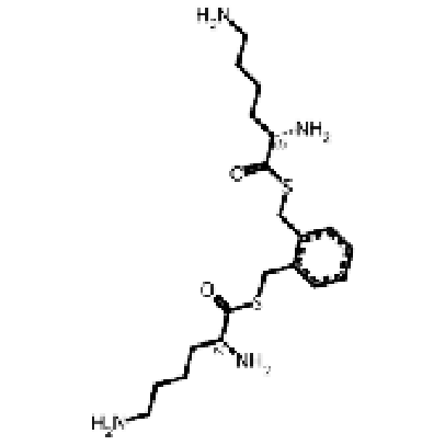 NCCCC[C@H](N)C(=O)SCc1ccccc1CSC(=O)[C@@H](N)CCCCN